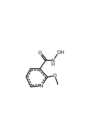 COc1ncccc1C(=O)NO